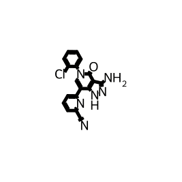 N#Cc1cccc(-c2cn(-c3ccccc3Cl)c(=O)c3c(N)n[nH]c23)n1